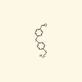 CSc1ccc(Sc2ccc(C=O)cc2)cc1